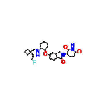 O=C1CCC(N2Cc3cc(O[C@@H]4CCCC[C@H]4NCC4(CCF)CCC4)ccc3C2=O)C(=O)N1